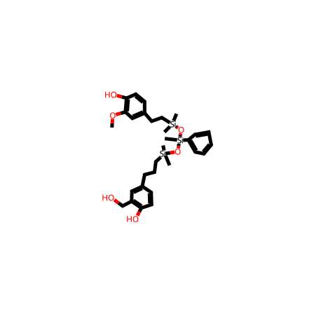 COc1cc(CC[Si](C)(C)O[Si](C)(O[Si](C)(C)CCCc2ccc(O)c(CO)c2)c2ccccc2)ccc1O